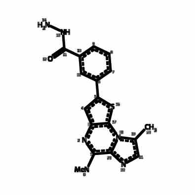 CNc1nc2cc(-c3cccc(C(=O)NN)c3)sc2n2c(C)cnc12